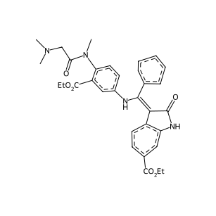 CCOC(=O)c1ccc2c(c1)NC(=O)C2=C(Nc1ccc(N(C)C(=O)CN(C)C)c(C(=O)OCC)c1)c1ccccc1